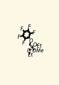 CCO[Si](COc1c(F)c(F)c(F)c(F)c1F)(OC)OCC